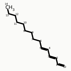 [C]=CC=CC=CCCCCCCCCC